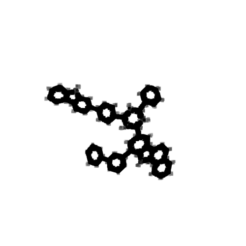 c1ccc(-c2cccc(-c3cc(-c4nc(-c5ccccc5)nc(-c5ccc(-c6ccc7c(c6)oc6ccccc67)cc5)n4)cc4c3oc3c5ccccc5ccc43)c2)cc1